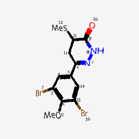 COc1c(Br)cc(C2=NNC(=O)C(SC)C2)cc1Br